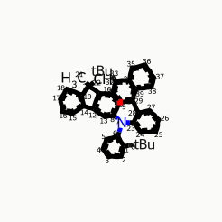 CC(C)(C)c1ccccc1N(c1ccc2c(c1)-c1ccccc1C2(C)C)c1ccccc1-c1ccc(C(C)(C)C)c2ccccc12